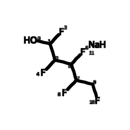 OC(F)C(F)C(F)C(F)CF.[NaH]